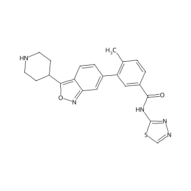 Cc1ccc(C(=O)Nc2nncs2)cc1-c1ccc2c(C3CCNCC3)onc2c1